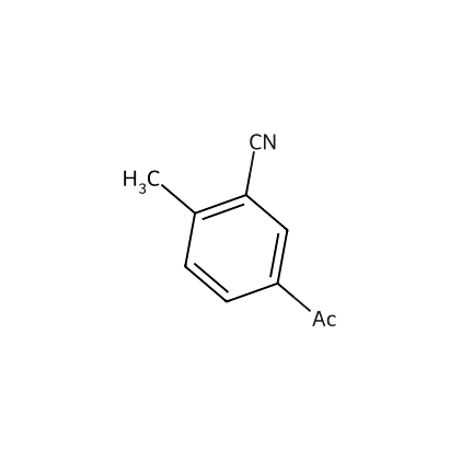 CC(=O)c1ccc(C)c(C#N)c1